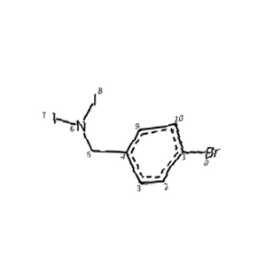 Brc1ccc(CN(I)I)cc1